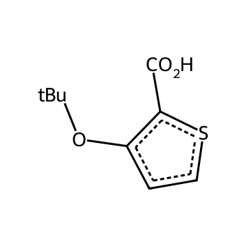 CC(C)(C)Oc1ccsc1C(=O)O